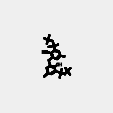 Cc1cc(Cc2cc(C)cc(C(C)(C)CC(C)(C)C)c2O)c(O)c(C(C)(C)CC(C)(C)C)c1